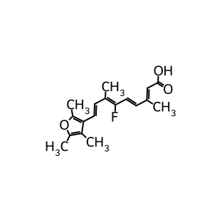 CC(C=CC(F)=C(C)C=Cc1c(C)oc(C)c1C)=CC(=O)O